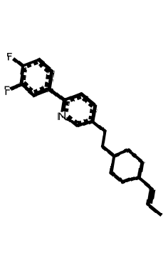 CC=CC1CCC(CCc2ccc(-c3ccc(F)c(F)c3)nc2)CC1